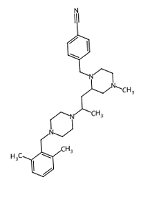 Cc1cccc(C)c1CN1CCN(C(C)CC2CN(C)CCN2Cc2ccc(C#N)cc2)CC1